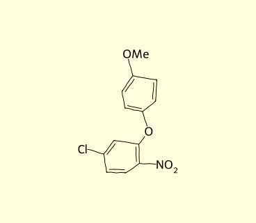 COc1ccc(Oc2cc(Cl)ccc2[N+](=O)[O-])cc1